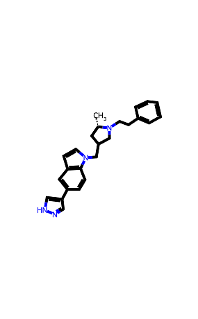 C[C@H]1CC(Cn2ccc3cc(-c4cn[nH]c4)ccc32)CN1CCc1ccccc1